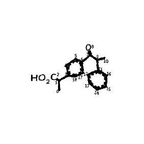 CC(C(=O)O)c1ccc(C(=O)C(C)c2ccccc2)cc1